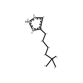 CC(C)(C)CCCCc1cn[nH]n1